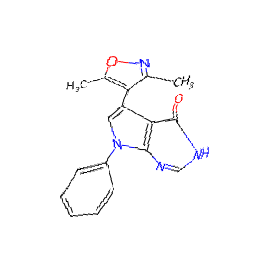 Cc1noc(C)c1-c1cn(-c2ccccc2)c2nc[nH]c(=O)c12